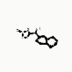 CC(C1=NOS(=O)N1)c1ccc2ccccc2c1